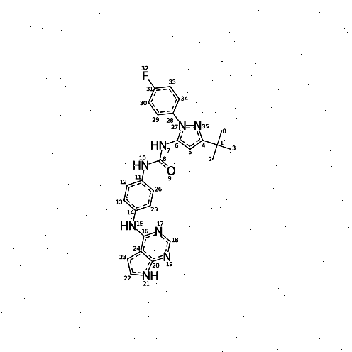 CC(C)(C)c1cc(NC(=O)Nc2ccc(Nc3ncnc4[nH]ccc34)cc2)n(-c2ccc(F)cc2)n1